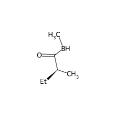 CBC(=O)[C@@H](C)CC